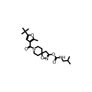 Cc1oc(C(C)(C)C)cc1C(=O)N1CCC2(CC1)CC(OC(=O)NCC(C)C)=NO2